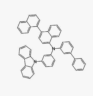 c1ccc(-c2cccc(N(c3cccc(-n4c5ccccc5c5ccccc54)c3)c3ccc(-c4cccc5ccccc45)c4ccccc34)c2)cc1